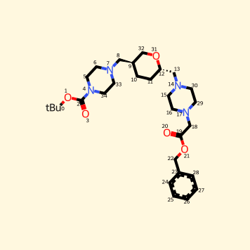 CC(C)(C)OC(=O)N1CCN(C[C@@H]2CC[C@@H](CN3CCN(CC(=O)OCc4ccccc4)CC3)OC2)CC1